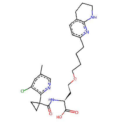 Cc1cnc(C2(C(=O)N[C@@H](CCOCCCCc3ccc4c(n3)NCCC4)C(=O)O)CC2)c(Cl)c1